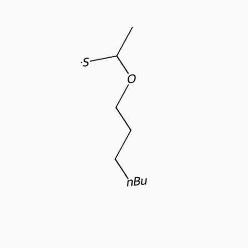 CCCCCCCOC(C)[S]